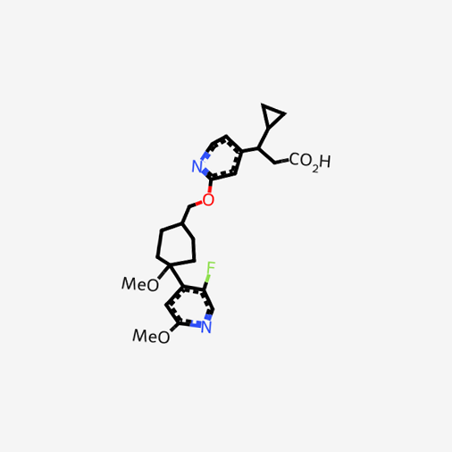 COc1cc(C2(OC)CCC(COc3cc(C(CC(=O)O)C4CC4)ccn3)CC2)c(F)cn1